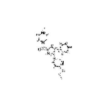 CCOc1ccc(-n2nc(C(=O)N3CCN(C)CC3)cc2-c2ccccc2)cn1